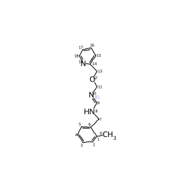 Cc1ccccc1CN/C=N/COCc1ccccn1